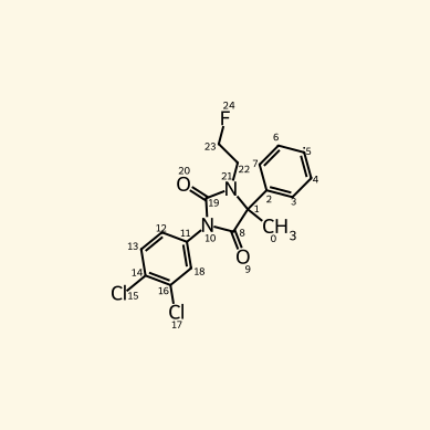 CC1(c2cc[c]cc2)C(=O)N(c2ccc(Cl)c(Cl)c2)C(=O)N1CCF